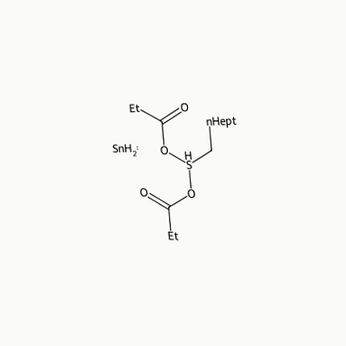 CCCCCCCC[SH](OC(=O)CC)OC(=O)CC.[SnH2]